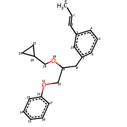 C/C=C/c1cccc(CC(COc2ccccc2)OCC2CC2)c1